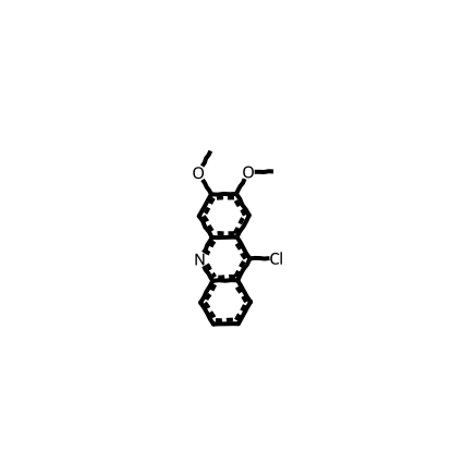 COc1cc2nc3ccccc3c(Cl)c2cc1OC